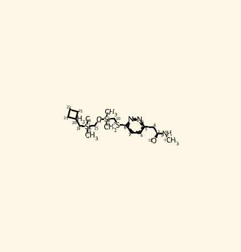 CNC(=O)Cc1ccc(SC[Si](C)(C)OC[Si](C)(C)CC2CCC2)nn1